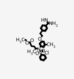 CCOC(=O)CCC(C)N(c1cc(C)cc(OCCc2ccc(C(=N)N)cc2)c1)S(=O)(=O)c1ccccc1Cl